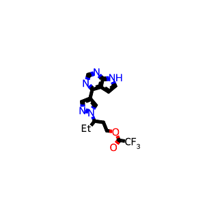 CCC(CCOC(=O)C(F)(F)F)n1cc(-c2ncnc3[nH]ccc23)cn1